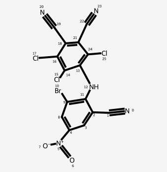 N#Cc1cc([N+](=O)[O-])cc(Br)c1Nc1c(Cl)c(Cl)c(C#N)c(C#N)c1Cl